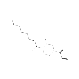 C=CC(=O)N1CCN(C(C)CCCCCCC)[C@@H](C)C1